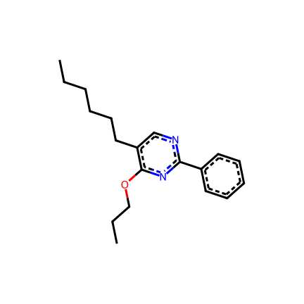 CCCCCCc1cnc(-c2ccccc2)nc1OCCC